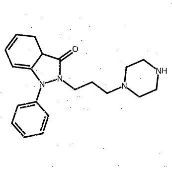 O=C1C2CC=CC=C2N(c2ccccc2)N1CCCN1CCNCC1